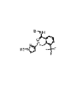 O=C(NBr)c1cccc(C(F)(F)F)c1COc1ccn(S)n1